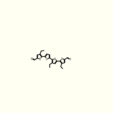 CCc1cc(C=O)sc1-c1ccc(-c2sc(-c3sc(C=O)cc3CC)cc2CC)o1